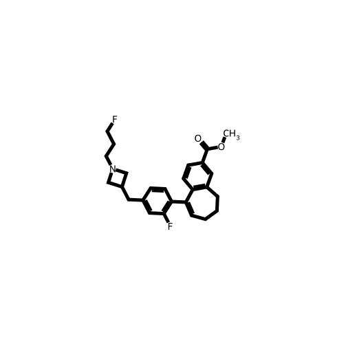 COC(=O)c1ccc2c(c1)CCCC=C2c1ccc(CC2CN(CCCF)C2)cc1F